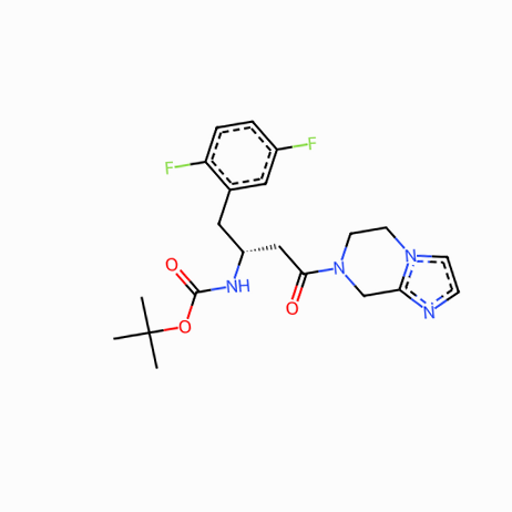 CC(C)(C)OC(=O)N[C@@H](CC(=O)N1CCn2ccnc2C1)Cc1cc(F)ccc1F